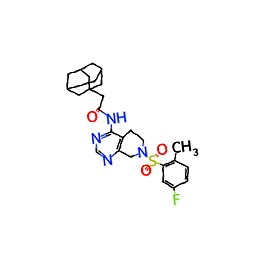 Cc1ccc(F)cc1S(=O)(=O)N1CCc2c(ncnc2NC(=O)CC23CC4CC(CC(C4)C2)C3)C1